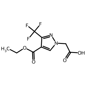 CCOC(=O)c1cn(CC(=O)O)nc1C(F)(F)F